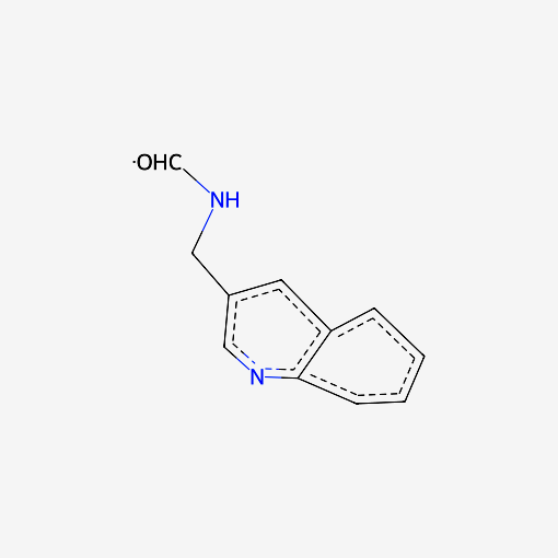 O=[C]NCc1cnc2ccccc2c1